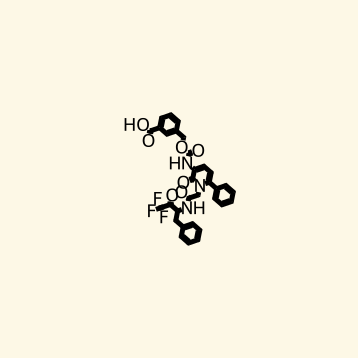 O=C(Cn1c(-c2ccccc2)ccc(NC(=O)OCc2cccc(C(=O)O)c2)c1=O)NC(Cc1ccccc1)C(=O)C(F)(F)F